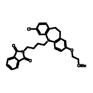 COCCOc1ccc2c(c1)CCc1ccc(Cl)cc1N2CCCCN1C(=O)c2ccccc2C1=O